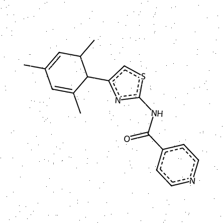 CC1=CC(C)C(c2csc(NC(=O)c3ccncc3)n2)C(C)=C1